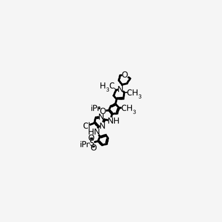 Cc1cc(Nc2ncc(Cl)c(Nc3ccccc3S(=O)(=O)C(C)C)n2)c(OC(C)C)cc1C1=C[C@H](C)N(C2CCOCC2)[C@@H](C)C1